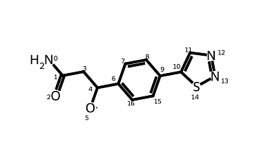 NC(=O)CC([O])c1ccc(-c2cnns2)cc1